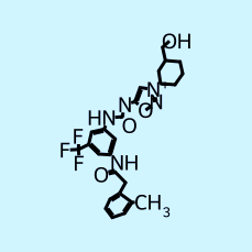 Cc1ccccc1CC(=O)Nc1cc(NC(=O)[N-]c2c[n+](C3CCCC(CO)C3)no2)cc(C(F)(F)F)c1